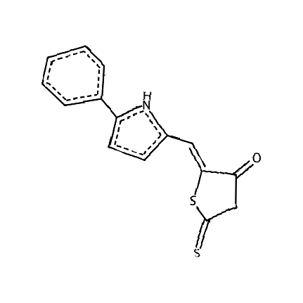 O=C1CC(=S)S/C1=C\c1ccc(-c2ccccc2)[nH]1